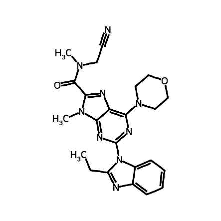 CCc1nc2ccccc2n1-c1nc(N2CCOCC2)c2nc(C(=O)N(C)CC#N)n(C)c2n1